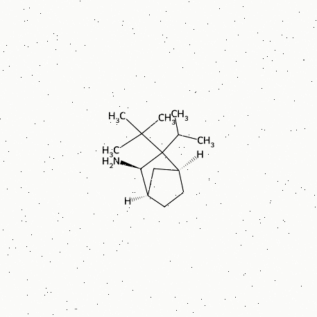 CC(C)C1(C(C)(C)C)[C@H]2CC[C@H](C2)[C@H]1N